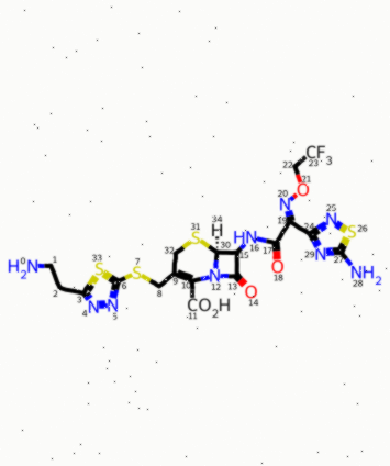 NCCc1nnc(SCC2=C(C(=O)O)N3C(=O)C(NC(=O)C(=NOCC(F)(F)F)c4nsc(N)n4)[C@@H]3SC2)s1